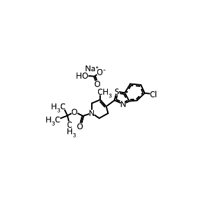 CC1=C(c2nc3cc(Cl)ccc3s2)CCN(C(=O)OC(C)(C)C)C1.O=C([O-])O.[Na+]